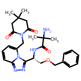 CC1(C)CC(=O)N(Cc2cccc3nnc([C@@H](COCc4ccccc4)NC(=O)C(C)(C)N)n23)C(=O)C1